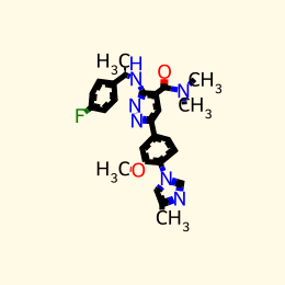 COc1cc(-c2cc(C(=O)N(C)C)c(N[C@@H](C)c3ccc(F)cc3)nn2)ccc1-n1cnc(C)c1